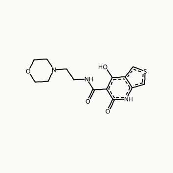 O=C(NCCN1CCOCC1)c1c(O)c2cscc2[nH]c1=O